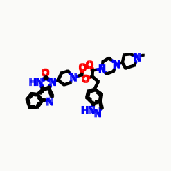 CN1CCC(N2CCN(C(=O)C(Cc3ccc4[nH]ncc4c3)OC(=O)N3CCC(n4c(=O)[nH]c5c6ccccc6ncc54)CC3)CC2)CC1